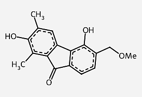 COCc1ccc2c(c1O)-c1cc(C)c(O)c(C)c1C2=O